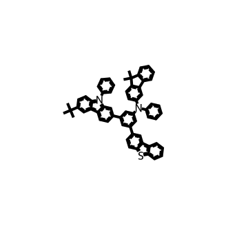 CC(C)(C)c1ccc2c(c1)c1ccc(-c3cc(-c4ccc5sc6ccccc6c5c4)cc(N(c4ccccc4)c4ccc5c(c4)-c4ccccc4C5(C)C)c3)cc1n2-c1ccccc1